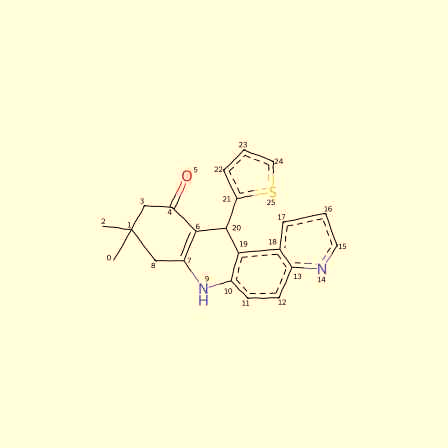 CC1(C)CC(=O)C2=C(C1)Nc1ccc3ncccc3c1C2c1cccs1